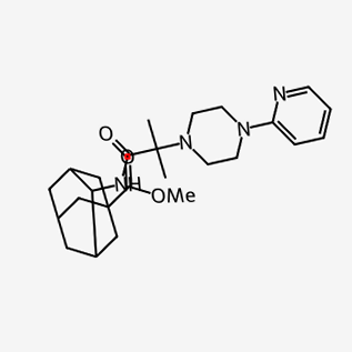 COC(=O)C12CC3CC(C1)C(NC(=O)C(C)(C)N1CCN(c4ccccn4)CC1)C(C3)C2